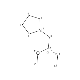 CC[C@@H](CN1CCCC1)OC